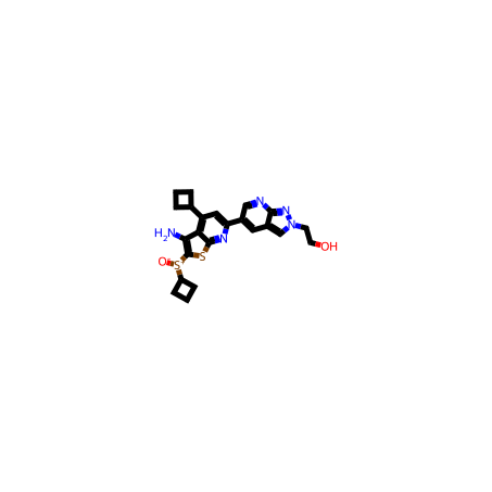 Nc1c([S+]([O-])C2CCC2)sc2nc(-c3cnc4nn(CCO)cc4c3)cc(C3CCC3)c12